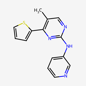 Cc1cnc(Nc2cccnc2)nc1-c1cccs1